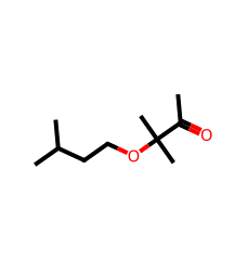 CC(=O)C(C)(C)OCCC(C)C